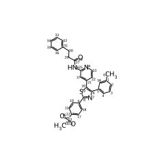 Cc1cccc(-c2nc(-c3ccc(S(C)(=O)=O)cc3)sc2-c2ccnc(NC(=O)CCc3ccccc3)c2)c1